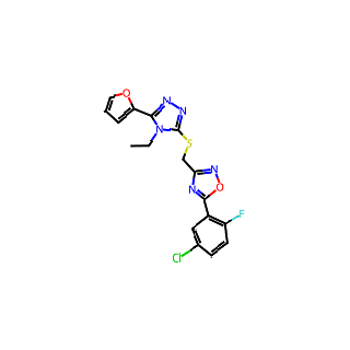 CCn1c(SCc2noc(-c3cc(Cl)ccc3F)n2)nnc1-c1ccco1